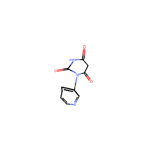 O=C1CC(=O)N(c2cccnc2)C(=O)N1